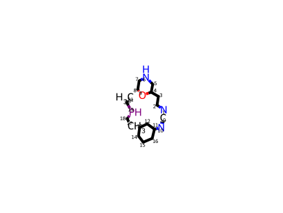 C(=NCCC1CNCCO1)=NC1CCCCC1.CCPCC